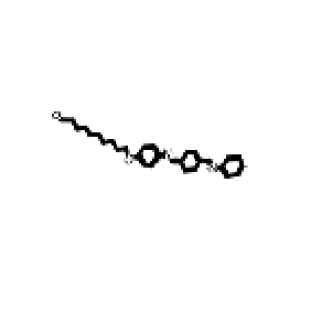 [O]CCCCCCCCCCOc1ccc([N]C=C2C=CC(C=[N+]c3cc[c]cc3)=CC2)cc1